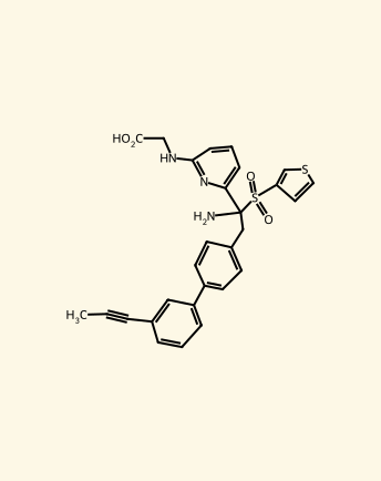 CC#Cc1cccc(-c2ccc(CC(N)(c3cccc(NCC(=O)O)n3)S(=O)(=O)c3ccsc3)cc2)c1